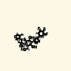 Cc1conc1[C@H](S[C@@H]1O[C@H](CO)[C@H](O)[C@H](n2cc(-c3cc(F)c(F)c(F)c3)nn2)[C@H]1O)C(C)(C)O